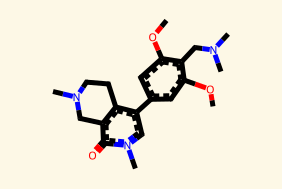 COc1cc(-c2cn(C)c(=O)c3c2CCN(C)C3)cc(OC)c1CN(C)C